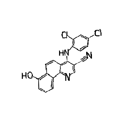 N#Cc1cnc2c(ccc3c(O)cccc32)c1Nc1ccc(Cl)cc1Cl